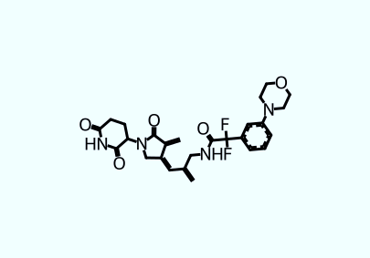 C=C(/C=C1/CN(C2CCC(=O)NC2=O)C(=O)C1=C)CNC(=O)C(F)(F)c1cccc(N2CCOCC2)c1